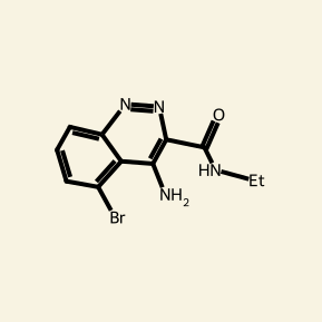 CCNC(=O)c1nnc2cccc(Br)c2c1N